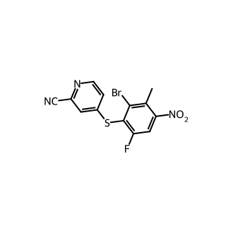 Cc1c([N+](=O)[O-])cc(F)c(Sc2ccnc(C#N)c2)c1Br